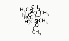 CCO[Si](C)(C)[C@](C)(CC)O[Si](C)(C)C